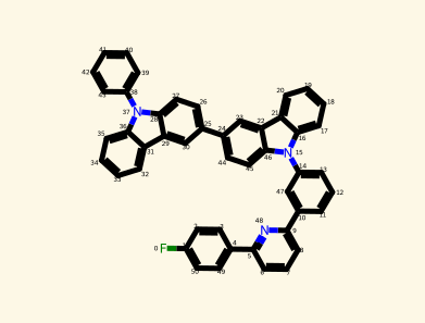 Fc1ccc(-c2cccc(-c3cccc(-n4c5ccccc5c5cc(-c6ccc7c(c6)c6ccccc6n7-c6ccccc6)ccc54)c3)n2)cc1